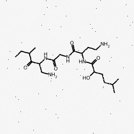 CCC(C)C(=O)C(CN)NC(=O)CNC(=O)C(CCN)NC(=O)C(O)CCC(C)C